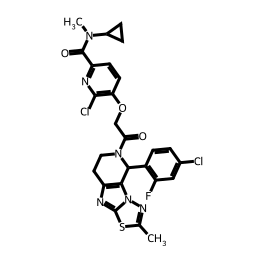 Cc1nn2c3c(nc2s1)CCN(C(=O)COc1ccc(C(=O)N(C)C2CC2)nc1Cl)C3c1ccc(Cl)cc1F